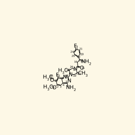 COc1cc2c(N)nc(N3CC(C)N(C(=O)CC(N)c4ccc(F)cc4)CC3C)nc2c(F)c1OC